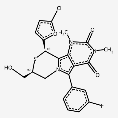 Cn1c(=O)c2c(-c3cccc(F)c3)n3c(c2n(C)c1=O)[C@H](c1ccc(Cl)o1)S[C@H](CO)C3